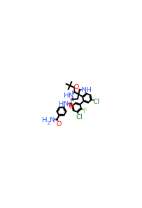 CC(C)(C)C[C@@H]1N[C@@H](C(=O)Nc2ccc(C(N)=O)cc2)CC12C(=O)Nc1cc(Cl)cc(-c3cccc(Cl)c3F)c12